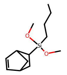 CCCC[Si](OC)(OC)C1CC2C=CC1C2